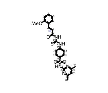 COc1ccccc1/C=C/C(=O)NC(=S)Nc1ccc(S(=O)(=O)Nc2nc(C)cc(C)n2)cc1